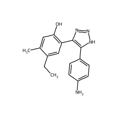 CCc1cc(-c2nn[nH]c2-c2ccc(N)cc2)c(O)cc1C